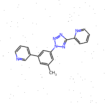 Cc1cc(-c2cccnc2)cc(-n2nnc(-c3ccccn3)n2)c1